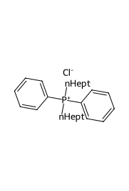 CCCCCCC[P+](CCCCCCC)(c1ccccc1)c1ccccc1.[Cl-]